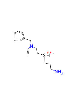 C=CN(CC[SiH](CCCN)OC)Cc1ccccc1